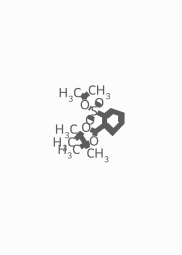 CC(C)OS(=O)(=O)c1ccccc1C1OC(C)(C)C(C)(C)O1